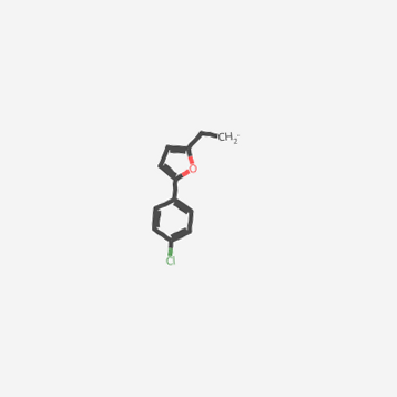 [CH2]Cc1ccc(-c2ccc(Cl)cc2)o1